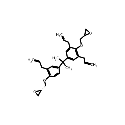 C=CCc1cc(C(C)(C)c2cc(CC=C)c(OCC3CO3)c(CC=C)c2)ccc1OC[C@@H]1CO1